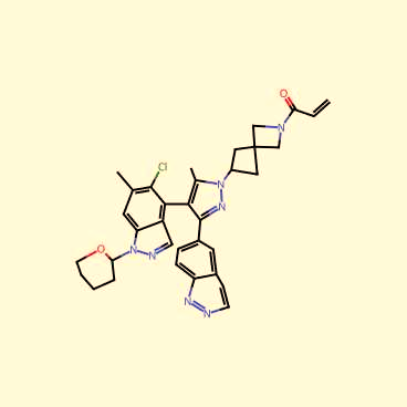 C=CC(=O)N1CC2(CC(n3nc(-c4ccc5nnccc5c4)c(-c4c(Cl)c(C)cc5c4cnn5C4CCCCO4)c3C)C2)C1